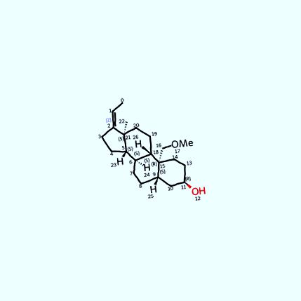 C/C=C1/CC[C@H]2[C@@H]3CC[C@H]4C[C@H](O)CC[C@]4(COC)[C@H]3CC[C@]12C